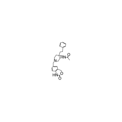 CC(=O)NCC1(CCc2ccccc2)CCN(Cc2ccc3c(c2)COC(=O)N3)CC1